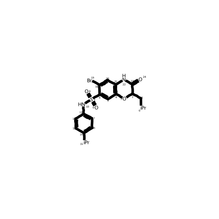 CC(C)CC1Oc2cc(S(=O)(=O)Nc3ccc(C(C)C)cc3)c(Br)cc2NC1=O